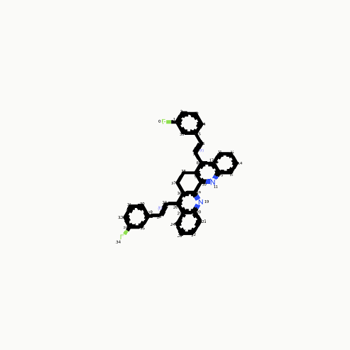 Fc1cccc(/C=C/c2c3c(nc4ccccc24)-c2nc4ccccc4c(/C=C/c4cccc(F)c4)c2CC3)c1